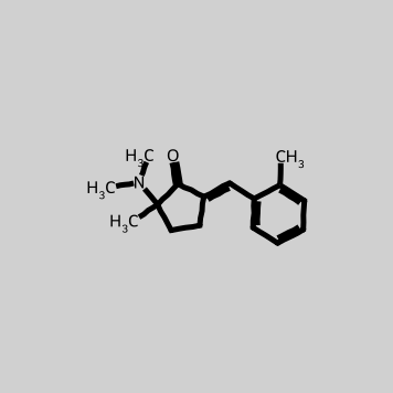 Cc1ccccc1C=C1CCC(C)(N(C)C)C1=O